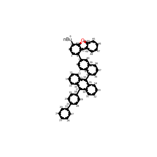 CCCCc1ccc(-c2ccc3c(-c4c5ccccc5c(-c5ccc(-c6ccccc6)cc5)c5ccccc45)cccc3c2)c2c1oc1ccccc12